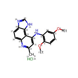 CCOc1ccc(OCC)c(Nc2cc(C)nc3ccc4nc[nH]c4c23)c1.Cl